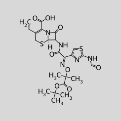 C=CC1=C(C(=O)O)N2C(=O)C(NC(=O)/C(=N/OC(C)(C)C(=O)OC(C)(C)C)c3csc(NC=O)n3)[C@H]2SC1